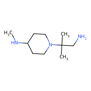 CNC1CCN(C(C)(C)CN)CC1